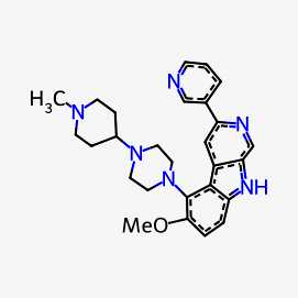 COc1ccc2[nH]c3cnc(-c4cccnc4)cc3c2c1N1CCN(C2CCN(C)CC2)CC1